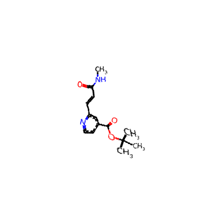 CNC(=O)C=Cc1cc(C(=O)OC(C)(C)C)ccn1